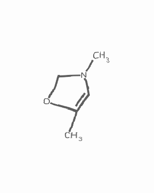 CC1=CN(C)CO1